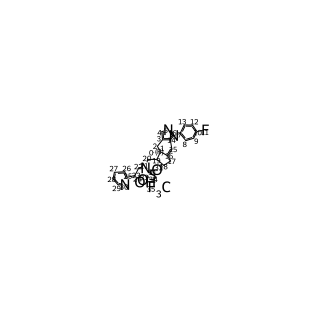 C[C@]12Cc3cnn(-c4ccc(F)cc4)c3C=C1CCC2CN(CC(O)c1ccccn1)S(=O)(=O)CC(F)(F)F